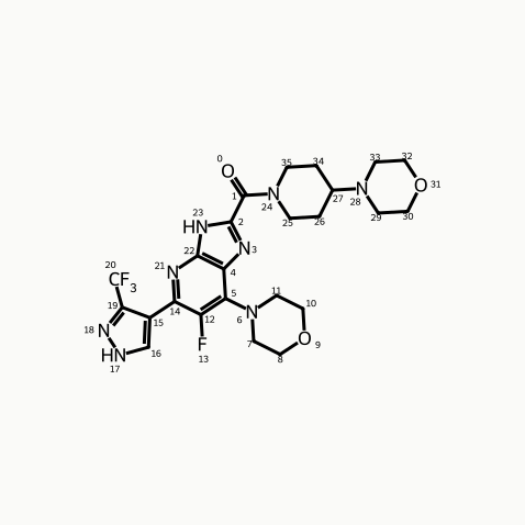 O=C(c1nc2c(N3CCOCC3)c(F)c(-c3c[nH]nc3C(F)(F)F)nc2[nH]1)N1CCC(N2CCOCC2)CC1